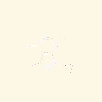 Nc1ncnc2c1c(I)nn2C1CC1.O=C(O)O.O=C(O)O